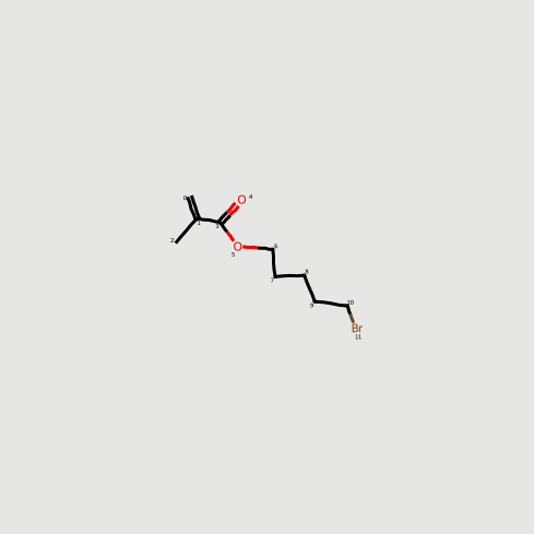 C=C(C)C(=O)OCCCCCBr